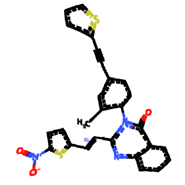 Cc1cc(C#Cc2cccs2)ccc1-n1c(/C=C/c2ccc([N+](=O)[O-])s2)nc2ccccc2c1=O